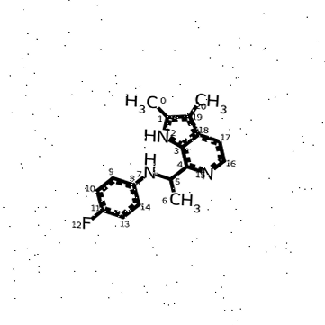 Cc1[nH]c2c(C(C)Nc3ccc(F)cc3)nccc2c1C